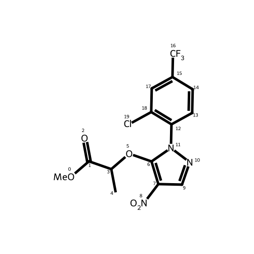 COC(=O)C(C)Oc1c([N+](=O)[O-])cnn1-c1ccc(C(F)(F)F)cc1Cl